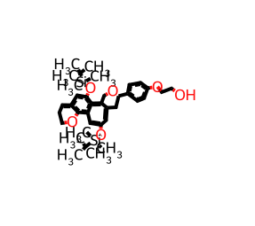 CC(C)(C)[Si](C)(C)OC1=Cc2c3c(cc(O[Si](C)(C)C(C)(C)C)c2=C2COC(c4ccc(OCCO)cc4)CC2=C1)=CCCO3